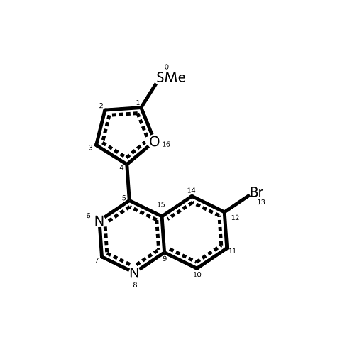 CSc1ccc(-c2ncnc3ccc(Br)cc23)o1